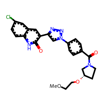 COCCO[C@H]1CCN(C(=O)c2ccc(-n3cc(-c4cc5cc(Cl)ccc5[nH]c4=O)nn3)cc2)C1